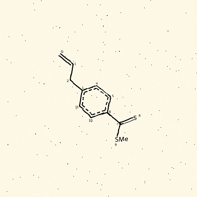 C=CCc1ccc(C(=S)SC)cc1